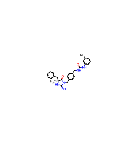 CC1(Cc2ccccc2)NC(=N)N(Cc2ccc(CNC(=O)Nc3cccc(C#N)c3)cc2)C1=O